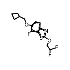 Fc1c(OCC2CCC2)ccc2nc(OCC(F)F)sc12